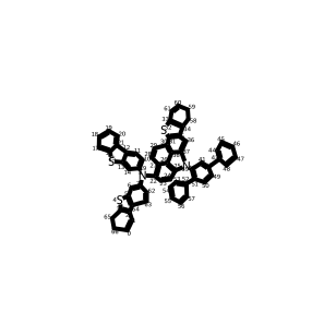 C1=Cc2c(sc3cc(N(c4ccc5c(c4)sc4ccccc45)c4ccc5c6c4ccc4c7sc8c(c7cc(c46)n5-c4cc(-c5ccccc5)ccc4-c4ccccc4)CCC=C8)ccc23)CC1